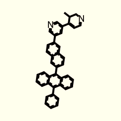 CC1CN=CC=C1c1cncc(-c2ccc3cc(-c4c5ccccc5c(-c5ccccc5)c5ccccc45)ccc3c2)c1